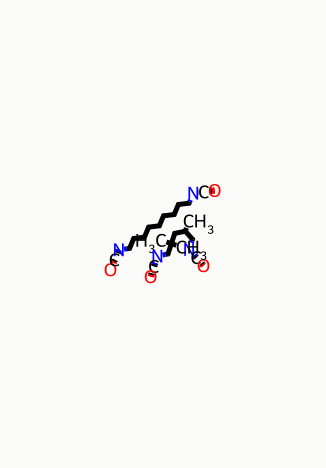 CC(CN=C=O)CC(C)(C)CN=C=O.O=C=NCCCCCCCCCN=C=O